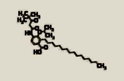 CCCCCCCCCCCCCCCCc1c(C(=O)O)ccc(NC(=O)CC(=O)C(C)(C)C)c1OC(C)C